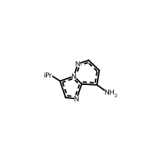 CC(C)c1cnc2c(N)ccnn12